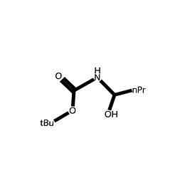 CCCC(O)NC(=O)OC(C)(C)C